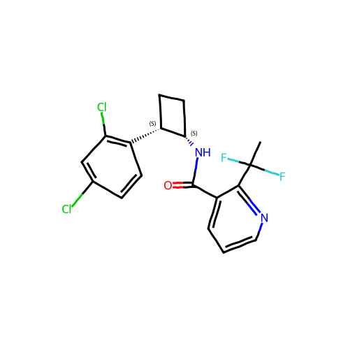 CC(F)(F)c1ncccc1C(=O)N[C@H]1CC[C@H]1c1ccc(Cl)cc1Cl